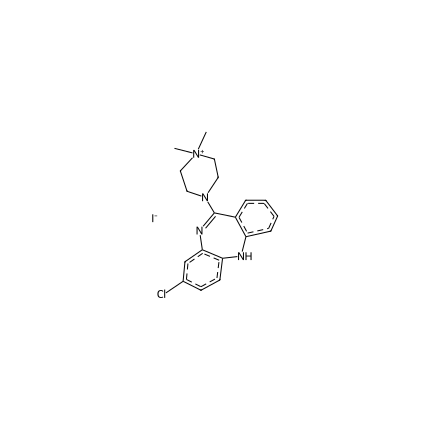 C[N+]1(C)CCN(C2=Nc3cc(Cl)ccc3Nc3ccccc32)CC1.[I-]